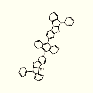 C1=CCCC(N2c3ccccc3[C@H]3C4=C(C[C@H](c5c6c(c(-c7ccc8c(c7)OC7C8C8=C(C=CCC8)N7C7C=CC=CC7)c7c5CCC=C7)C=CCC6)C=C4)OC32)=C1